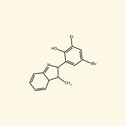 CCc1cc(C(C)(C)C)cc(N2N=C3C=CC=CC3N2C)c1O